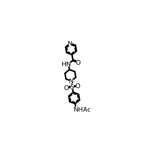 CC(=O)Nc1ccc(S(=O)(=O)N2CCC(NC(=O)c3ccncc3)CC2)cc1